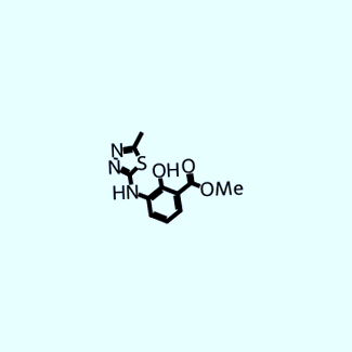 COC(=O)c1cccc(Nc2nnc(C)s2)c1O